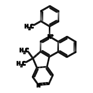 Cc1ccccc1-[n+]1cc2c(c3ccccc31)-c1ccncc1C2(C)C